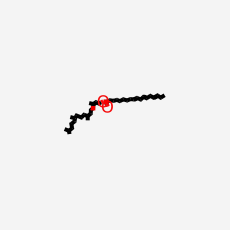 CCC=CCC=CCC=CCCCCCCCC(=O)OCC=C(C)CCCC(C)CCCC(C)CCCC(C)C